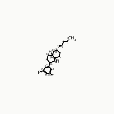 CCCC=C[C@@H]1CC[C@@H]2CC(c3cc(F)cc(F)c3)CC[C@@H]2C1